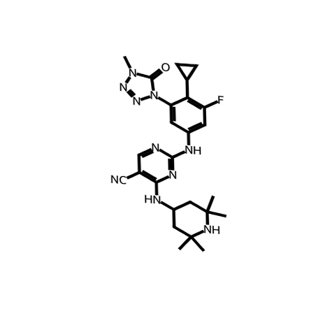 Cn1nnn(-c2cc(Nc3ncc(C#N)c(NC4CC(C)(C)NC(C)(C)C4)n3)cc(F)c2C2CC2)c1=O